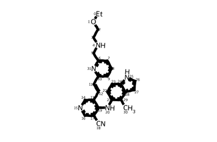 CCOCCNCc1cccc(C=Cc2cncc(C#N)c2Nc2ccc3[nH]ccc3c2C)n1